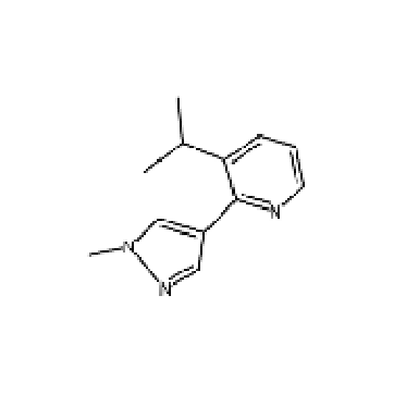 CC(C)c1cccnc1-c1cnn(C)c1